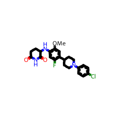 COc1cc(C2CCN(c3ccc(Cl)cc3)CC2)c(F)cc1NC1CCC(=O)NC1=O